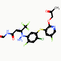 CC(=O)COc1ncc(F)cc1Sc1cc(N(N)/C(=C\C(=O)NC=O)C(F)(F)F)c(F)cc1Cl